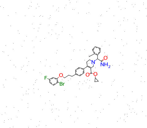 Cc1ccccc1C(C(N)=O)N1CCC(c2ccc(CCCOc3cc(F)ccc3Br)cc2)=C(C(=O)OC2CC2)C1